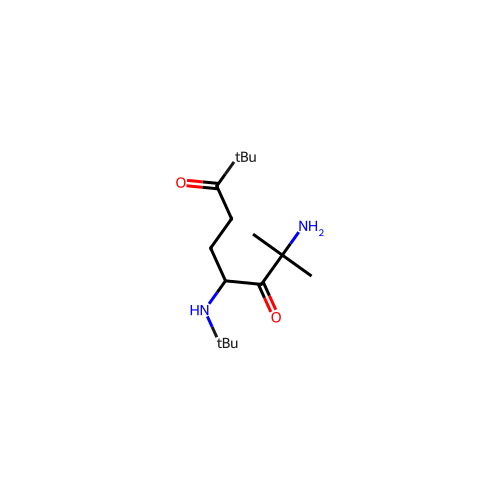 CC(C)(C)NC(CCC(=O)C(C)(C)C)C(=O)C(C)(C)N